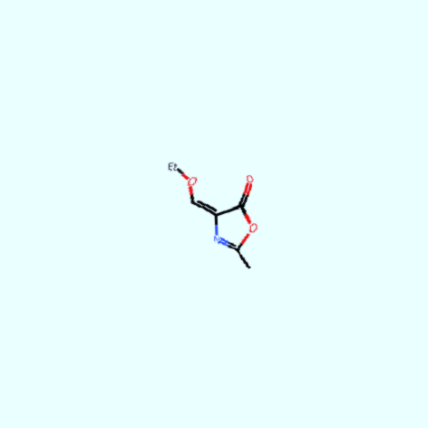 CCOC=C1N=C(C)OC1=O